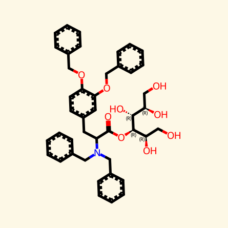 O=C(O[C@@H]([C@H](O)[C@H](O)CO)[C@H](O)CO)C(Cc1ccc(OCc2ccccc2)c(OCc2ccccc2)c1)N(Cc1ccccc1)Cc1ccccc1